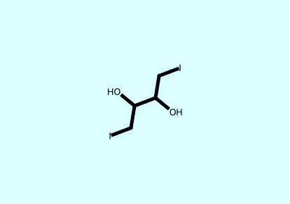 OC(CI)C(O)CI